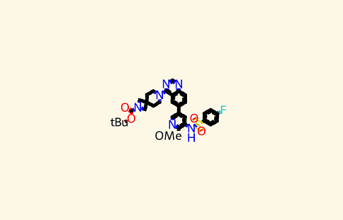 COc1ncc(-c2ccc3ncnc(N4CCC5(CC4)CN(C(=O)OC(C)(C)C)C5)c3c2)cc1NS(=O)(=O)c1ccc(F)cc1